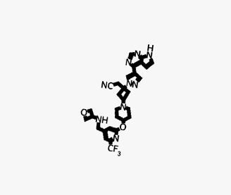 N#CCC1(n2cc(-c3ncnc4[nH]ccc34)cn2)CC(N2CCC(Oc3cc(CNC4COC4)cc(C(F)(F)F)n3)CC2)C1